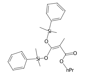 CCCOC(=O)C(C)=C(O[Si](C)(C)c1ccccc1)O[Si](C)(C)c1ccccc1